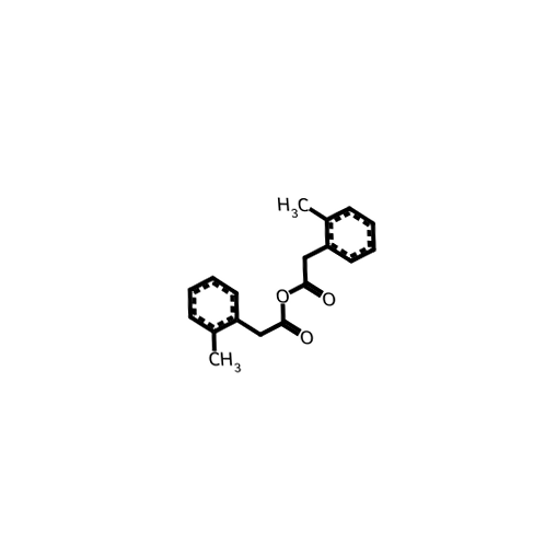 Cc1ccccc1CC(=O)OC(=O)Cc1ccccc1C